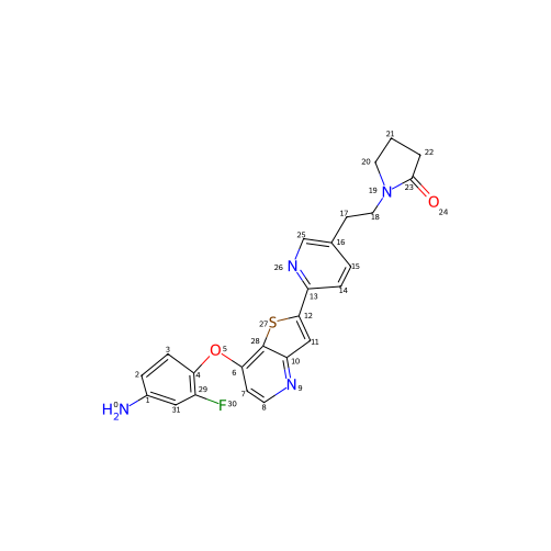 Nc1ccc(Oc2ccnc3cc(-c4ccc(CCN5CCCC5=O)cn4)sc23)c(F)c1